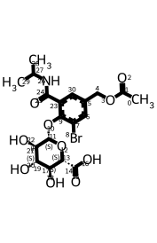 CC(=O)OCc1cc(Br)c(O[C@@H]2O[C@H](C(=O)O)[C@@H](O)[C@H](O)[C@H]2O)c(C(=O)NC(C)C)c1